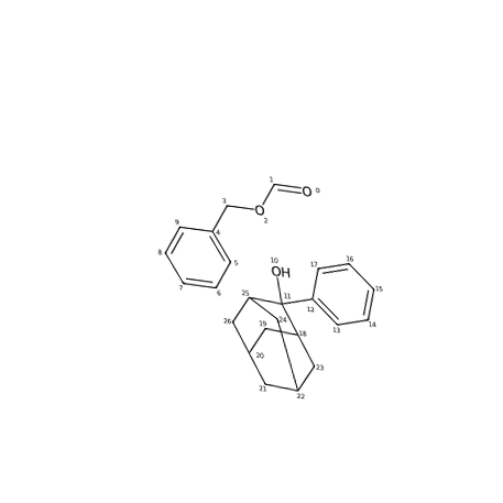 O=COCc1ccccc1.OC1(c2ccccc2)C2CC3CC(C2)CC1C3